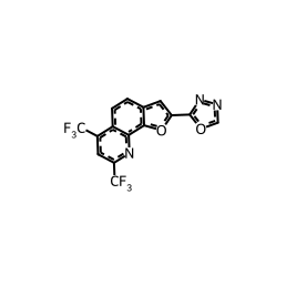 FC(F)(F)c1cc(C(F)(F)F)c2ccc3cc(-c4nnco4)oc3c2n1